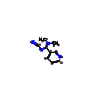 CN(C)C(=NC#N)c1[c]nccc1